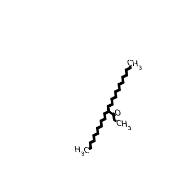 CCCCCCCCCCCCCC(CCCCCCCCCCC)C(=O)CC